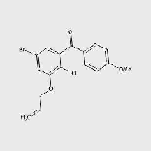 C=CCOc1cc(Br)cc(C(=O)c2ccc(OC)cc2)c1Cl